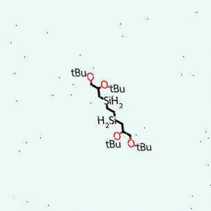 CC(C)(C)OCC(C[SiH2]CC[SiH2]CC(COC(C)(C)C)OC(C)(C)C)OC(C)(C)C